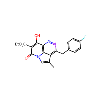 CCOC(=O)c1c(O)c2c3c(c(C)cn3c1=O)=C(Cc1ccc(F)cc1)I=N2